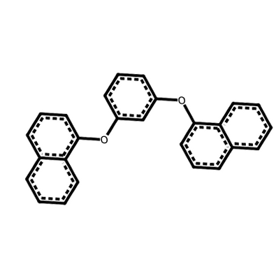 c1cc(Oc2cccc3ccccc23)cc(Oc2cccc3ccccc23)c1